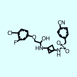 N#Cc1ccc(CS(=O)(=O)NC23CC(NC(O)COc4ccc(Cl)c(F)c4)(C2)C3)cc1